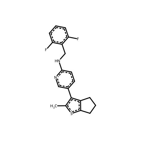 Cc1sc2c(c1-c1ccc(NCc3c(F)cccc3F)nc1)CCC2